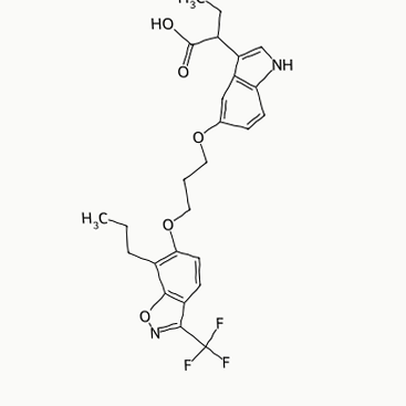 CCCc1c(OCCCOc2ccc3[nH]cc(C(CC)C(=O)O)c3c2)ccc2c(C(F)(F)F)noc12